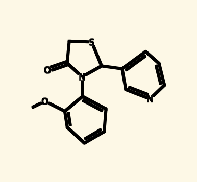 COc1ccccc1N1C(=O)CSC1c1cccnc1